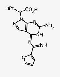 CCCC(C(=O)O)n1ncc2/c(=N/C(=N)c3ccco3)[nH]c(N)nc21